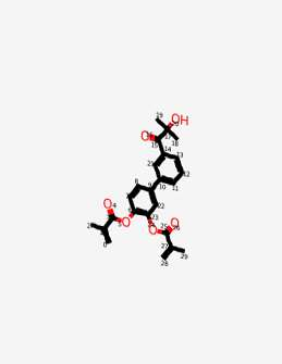 C=C(C)C(=O)Oc1ccc(-c2cccc(C(=O)C(C)(C)O)c2)cc1OC(=O)C(=C)C